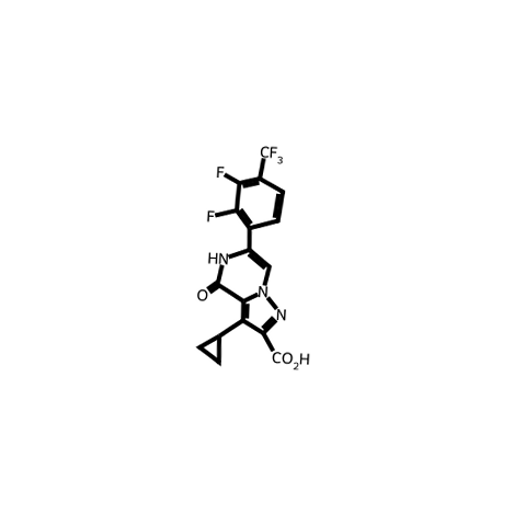 O=C(O)c1nn2cc(-c3ccc(C(F)(F)F)c(F)c3F)[nH]c(=O)c2c1C1CC1